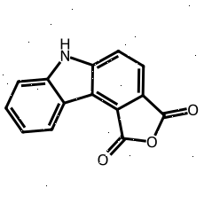 O=C1OC(=O)c2c1ccc1[nH]c3ccccc3c21